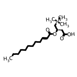 CCCCCCCCC/C=C/C(=O)O[C@H](CC(=O)O)C[N+](C)(C)C